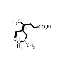 C=C/C(CN(C)C)=C(\C)CCC(=O)OCC